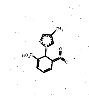 Cc1cnn(C2C(C(=O)O)=CC=CC2=S(=O)=O)c1